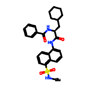 CC(C)(C)NS(=O)(=O)c1cccc2c(NC(=O)[C@H](CC3CCCCC3)NC(=O)c3ccccc3)cccc12